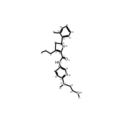 CCCC1=C(C(=O)Nc2ccc(N(C)CCOC)nc2)N=C(c2ccccc2C)C1